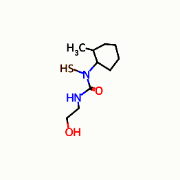 CC1CCCCC1N(S)C(=O)NCCO